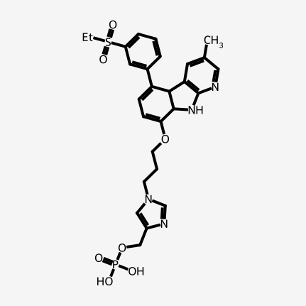 CCS(=O)(=O)c1cccc(C2=CC=C(OCCCn3cnc(COP(=O)(O)O)c3)C3Nc4ncc(C)cc4C23)c1